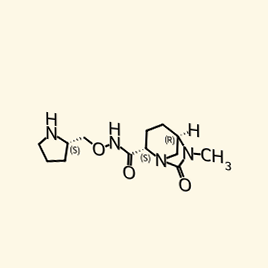 CN1C(=O)N2C[C@H]1CC[C@H]2C(=O)NOC[C@@H]1CCCN1